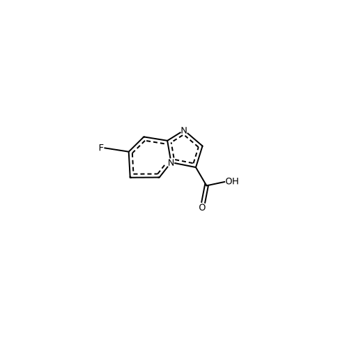 O=C(O)c1cnc2cc(F)ccn12